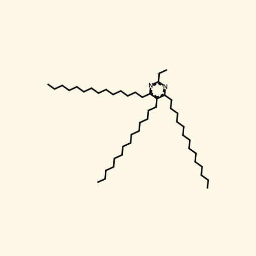 C[CH]c1nc(CCCCCCCCCCCCCC)c(CCCCCCCCCCCCCC)c(CCCCCCCCCCCCCC)n1